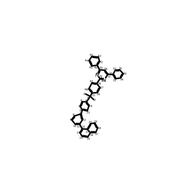 CC(C)(c1ccc(-c2cccc(-c3cccc4ccccc34)c2)cc1)c1ccc(-c2nc(-c3ccccc3)cc(-c3ccccc3)n2)cc1